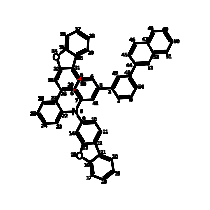 c1cc(-c2cccc(N(c3ccc4c(c3)oc3ccccc34)c3ccccc3-c3ccc4c(c3)oc3ccccc34)c2)cc(-c2ccc3ccccc3c2)c1